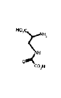 NC(CNC(=O)C(=O)O)C(=O)O